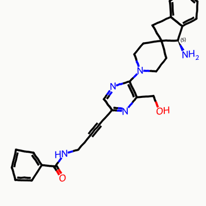 N[C@@H]1c2ccccc2CC12CCN(c1ncc(C#CCNC(=O)c3ccccc3)nc1CO)CC2